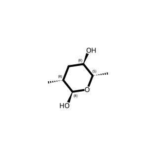 C[C@@H]1C[C@@H](O)[C@H](C)O[C@H]1O